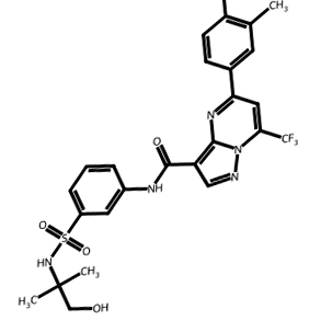 Cc1cc(-c2cc(C(F)(F)F)n3ncc(C(=O)Nc4cccc(S(=O)(=O)NC(C)(C)CO)c4)c3n2)ccc1C(F)(F)F